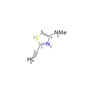 C#Cc1nc(NC)cs1